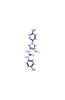 CC(C)c1ccc(NC(=O)N[C@@H]2CN(c3ccc(C#N)nn3)C[C@@H]2N)cc1